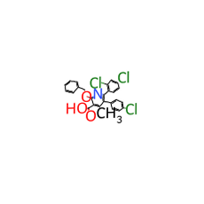 Cc1c(C(=O)O)c(OCc2ccccc2)nc(-c2ccc(Cl)cc2Cl)c1-c1ccc(Cl)cc1